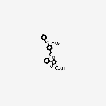 COc1cc(CCO[C@@H]2CCCC[C@H]2N2C(=O)C[C@H](CC(=O)O)C2=O)ccc1OCc1ccccc1